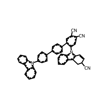 N#Cc1cc(-c2ccc(-c3ccc(-n4c5ccccc5c5ccccc54)cc3)cc2)c(-n2c3c(c4ccccc42)CC(C#N)C=C3)cc1C#N